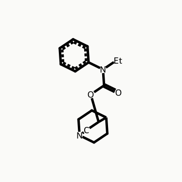 CCN(C(=O)OC1CN2CCC1CC2)c1ccccc1